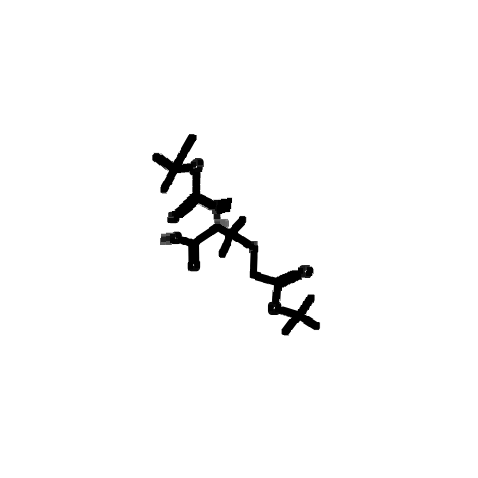 CC(C)(C)OC(=O)CSC(C)(C)[C@@H](NC(=O)OC(C)(C)C)C(=O)O